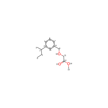 CCC(C)c1cccc(COCC(=O)OC)c1